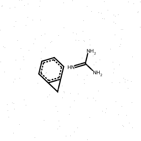 N=C(N)N.c1ccc2c(c1)C2